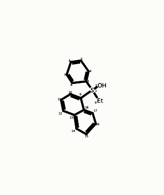 CCS(O)(c1ccccc1)c1cccc2ccccc12